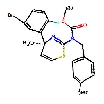 COc1ccc(CN(C(=O)OC(C)(C)C)C2=N[C@](C)(c3cc(Br)ccc3F)C=CS2)cc1